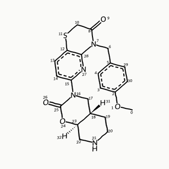 COc1ccc(CN2C(=O)CSc3ccc(N4C[C@@H]5CCNC[C@H]5OC4=O)nc32)cc1